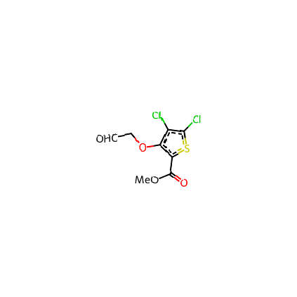 COC(=O)c1sc(Cl)c(Cl)c1OCC=O